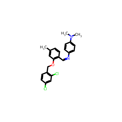 Cc1ccc(/C=N\c2ccc(N(C)C)cc2)c(OCc2ccc(Cl)cc2Cl)c1